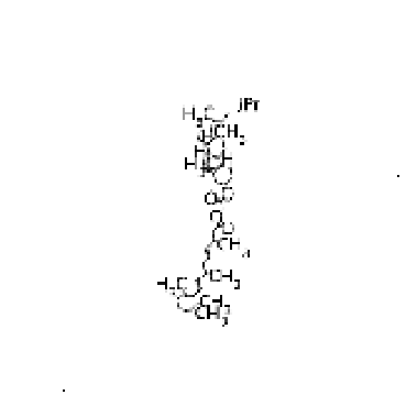 CC1=C(/C=C/C(C)=C/C=C/C(C)=C/C(=O)OCC(=O)O[C@H]2CC[C@@]3(C)C(=CC[C@H]4[C@@H]5CC[C@H]([C@H](C)CCCC(C)C)[C@@]5(C)CC[C@@H]43)C2)C(C)(C)CCC1